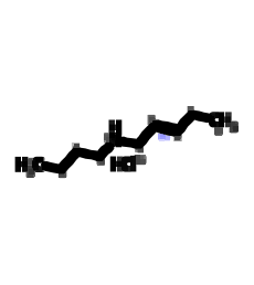 CC/C=C/CNCCCC.Cl